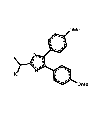 COc1ccc(-c2nc(C(C)O)oc2-c2ccc(OC)cc2)cc1